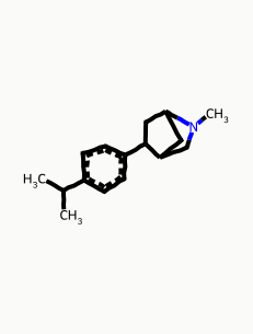 CC(C)c1ccc(C2CC3CC2CN3C)cc1